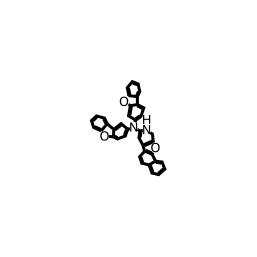 C1=C(N(c2ccc3c(c2)oc2ccccc23)c2ccc3oc4ccccc4c3c2)NCc2oc3c(ccc4ccccc43)c21